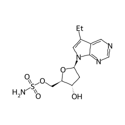 CCc1cn([C@H]2C[C@H](O)[C@@H](COS(N)(=O)=O)O2)c2ncncc12